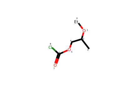 CCOC(C)COC(=O)Cl